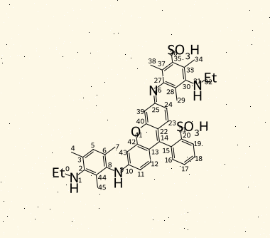 CCNc1c(C)cc(C)c(Nc2ccc3c(-c4ccccc4S(=O)(=O)O)c4cc/c(=N\c5c(C)c(NCC)c(C)c(S(=O)(=O)O)c5C)cc-4oc3c2)c1C